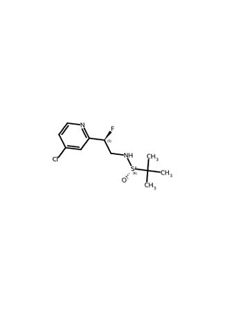 CC(C)(C)[S@+]([O-])NC[C@H](F)c1cc(Cl)ccn1